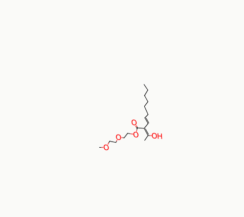 CCCCCCC=CC(C(=O)OCCOCCOC)=C(C)O